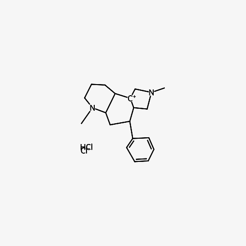 CN1C[C+]2C(C1)C(c1ccccc1)CC1C2CCCN1C.Cl.[Cl-]